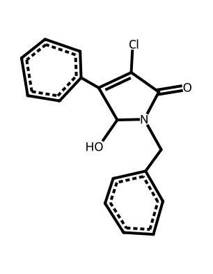 O=C1C(Cl)=C(c2ccccc2)C(O)N1Cc1ccccc1